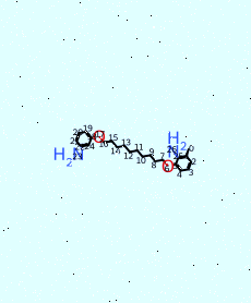 Cc1cccc(OCCCCCCCCCCOc2cccc(N)c2)c1N